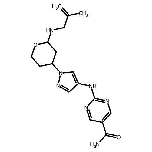 C=C(C)CNC1CC(n2cc(Nc3ncc(C(N)=O)cn3)cn2)CCO1